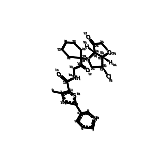 Cc1nc(-c2cccnc2)sc1C(=O)NCC(=O)C1(N2C[C@H](Cl)[C@H]3OCC(=O)[C@H]32)CCCCC1